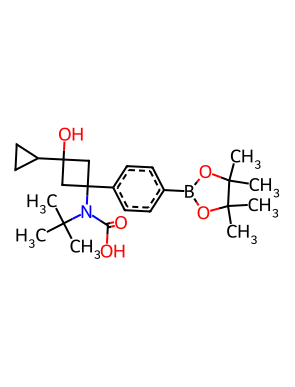 CC(C)(C)N(C(=O)O)C1(c2ccc(B3OC(C)(C)C(C)(C)O3)cc2)CC(O)(C2CC2)C1